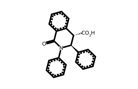 O=C(O)[C@H]1c2ccccc2C(=O)N(c2ccccc2)[C@@H]1c1ccccc1